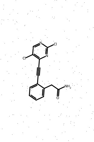 NC(=O)Cc1ccccc1C#Cc1nc(Cl)ncc1Cl